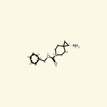 N[C@H]1CC12CCN(C(=O)OCc1ccccc1)CC2